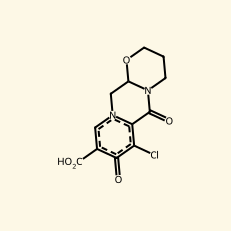 O=C(O)c1cn2c(c(Cl)c1=O)C(=O)N1CCCOC1C2